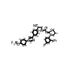 CC(C)c1cc(F)ccc1N1CCCS/C1=N\C(=O)NCC(C#N)c1ccc(-c2ncn(-c3ccc(OC(F)(F)F)cc3)n2)cc1